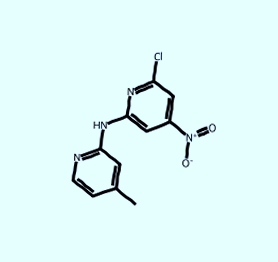 Cc1ccnc(Nc2cc([N+](=O)[O-])cc(Cl)n2)c1